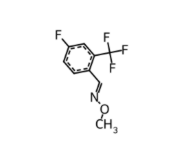 CON=Cc1ccc(F)cc1C(F)(F)F